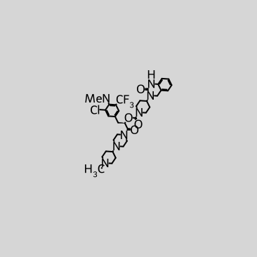 CNc1c(Cl)cc(C[C@@H](OC(=O)N2CCC(N3Cc4ccccc4NC3=O)CC2)C(=O)N2CCN(C3CCN(C)CC3)CC2)cc1C(F)(F)F